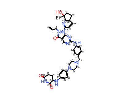 C=CCn1c(=O)c2cnc(Nc3ccc(CN4CCN(c5ccc(NC6CCC(=O)NC6=O)cc5)CC4)cc3)nc2n1-c1ccc2c(n1)[C@@](O)(CC)CC2